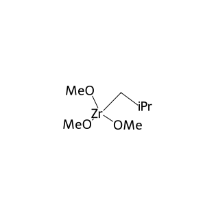 C[O][Zr]([CH2]C(C)C)([O]C)[O]C